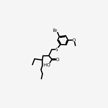 CCCCC(CC)CC(CSc1cc(Br)cc(OC)c1)C(=O)O